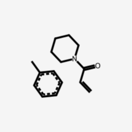 C=CC(=O)N1CCCCC1.Cc1ccccc1